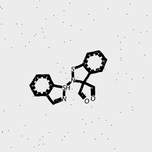 O=CC1(C=O)c2ccccc2SN1[SH]1N=Cc2ccccc21